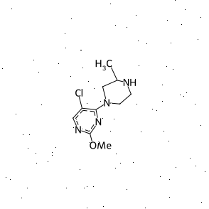 COc1ncc(Cl)c(N2CCNC(C)C2)n1